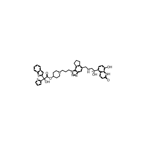 O=C(OC1CCN(CCCn2nnc3cc(CNC[C@H](O)c4ccc(O)c5[nH]c(=O)ccc45)c4c(c32)CCC4)CC1)[C@](O)(c1cccs1)c1cc2ccccc2s1